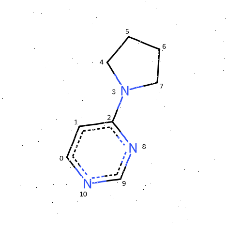 c1cc(N2CCCC2)ncn1